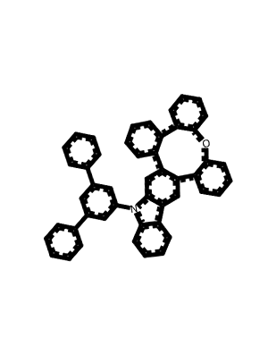 c1ccc(-c2cc(-c3ccccc3)cc(-n3c4ccccc4c4cc5c6ccccc6oc6ccccc6c6ccccc6c5cc43)c2)cc1